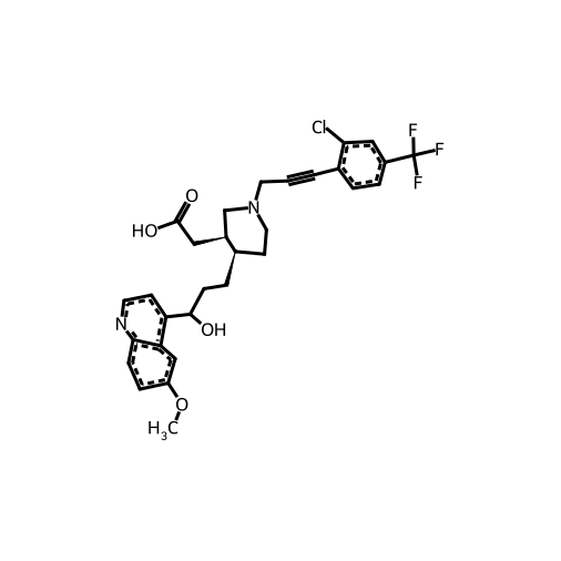 COc1ccc2nccc(C(O)CC[C@@H]3CCN(CC#Cc4ccc(C(F)(F)F)cc4Cl)C[C@@H]3CC(=O)O)c2c1